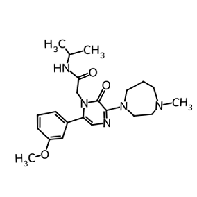 COc1cccc(-c2cnc(N3CCCN(C)CC3)c(=O)n2CC(=O)NC(C)C)c1